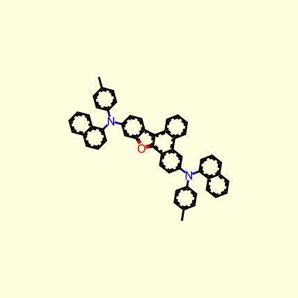 Cc1ccc(N(c2ccc3c(c2)oc2c4ccc(N(c5ccc(C)cc5)c5cccc6ccccc56)cc4c4ccccc4c32)c2cccc3ccccc23)cc1